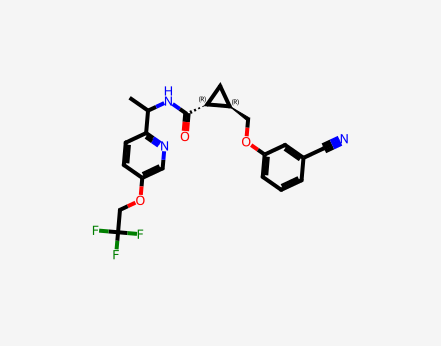 CC(NC(=O)[C@@H]1C[C@H]1COc1cccc(C#N)c1)c1ccc(OCC(F)(F)F)cn1